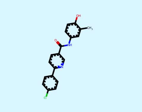 Cc1cc(NC(=O)c2ccc(-c3ccc(Cl)cc3)nc2)ccc1O